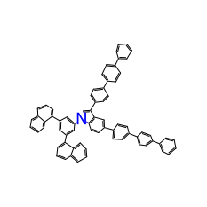 c1ccc(-c2ccc(-c3ccc(-c4ccc5c(c4)c(-c4ccc(-c6ccc(-c7ccccc7)cc6)cc4)cn5-c4cc(-c5cccc6ccccc56)cc(-c5cccc6ccccc56)c4)cc3)cc2)cc1